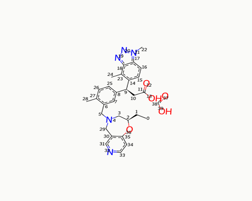 CC[C@@H]1CN(Cc2cc([C@H](CC(=O)O)c3ccc4c(nnn4C)c3C)ccc2C)Cc2cnccc2O1.O=CO